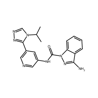 CC(C)n1cnnc1-c1cncc(NC(=O)n2nc(N)c3ccccc32)c1